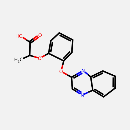 CC(Oc1ccccc1Oc1cnc2ccccc2n1)C(=O)O